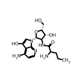 CCCC(N)C(=O)NC1[C@@H](O)[C@@H](CO)O[C@H]1n1cc(O)c2c(N)ccnc21